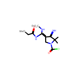 CCOC(=O)N/C(NC(=O)COC)=C1/CN(C(=O)Cl)C(C)(C)C1=N